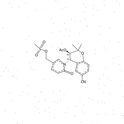 CC(=O)O[C@@H]1[C@@H](n2cc(COS(C)(=O)=O)ccc2=O)c2cc(C#N)ccc2OC1(C)C